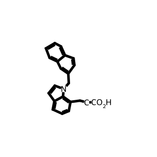 O=C(O)CCc1cccc2ccn(Cc3ccc4ccccc4c3)c12